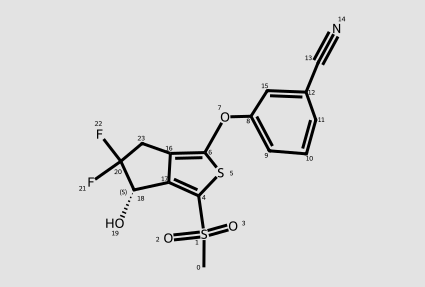 CS(=O)(=O)c1sc(Oc2cccc(C#N)c2)c2c1[C@H](O)C(F)(F)C2